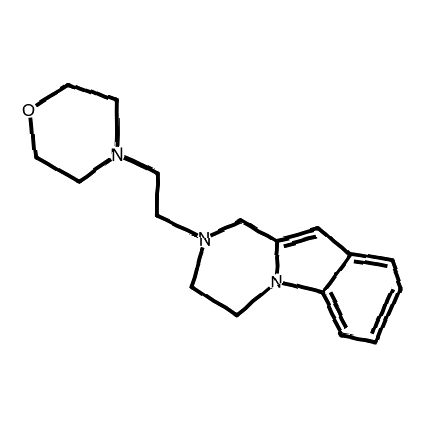 c1ccc2c(c1)cc1n2CCN(CCN2CCOCC2)C1